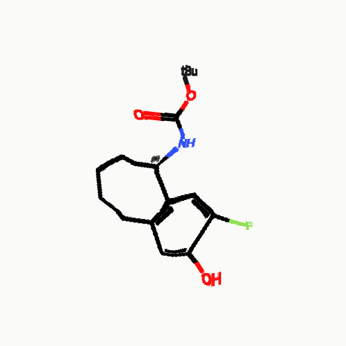 CC(C)(C)OC(=O)N[C@@H]1CCCCc2cc(O)c(F)cc21